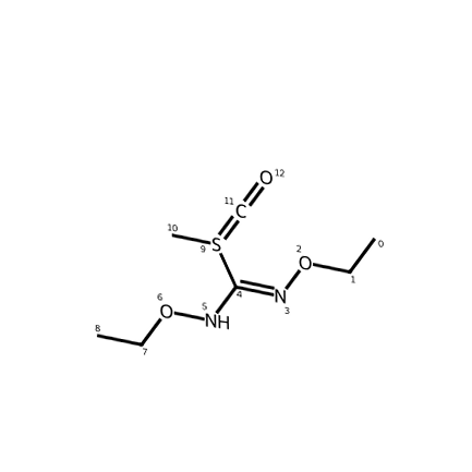 CCON=C(NOCC)S(C)=C=O